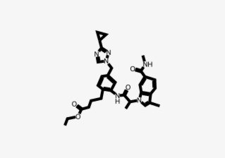 CCOC(=O)CCCc1ccc(Cn2cnc(C3CC3)n2)cc1NC(=O)C(C)n1cc(C)c2ccc(C(=O)NC)cc21